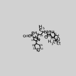 CC[C@@]1(C)OCc2cnc(C(=O)NC(C)CCn3nc(C4CCOCC4)cc3N(C)C=O)cc21